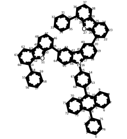 c1ccc(-c2c3ccccc3c(-c3ccc(-n4c5ccc(-c6cccc7c6oc6c(-c8ccccc8)cccc67)cc5c5cc(-c6cccc7c6oc6c(-c8ccccc8)cccc67)ccc54)cc3)c3ccccc23)cc1